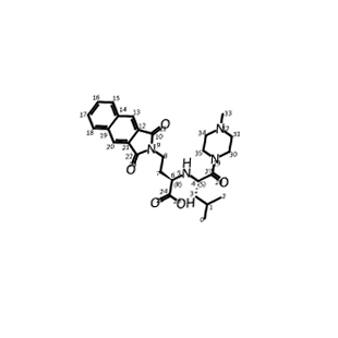 CC(C)C[C@H](N[C@H](CCN1C(=O)c2cc3ccccc3cc2C1=O)C(=O)O)C(=O)N1CCN(C)CC1